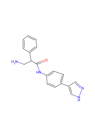 NCC(C(=O)Nc1ccc(-c2cn[nH]c2)cc1)c1ccccc1